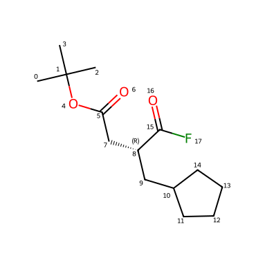 CC(C)(C)OC(=O)C[C@@H](CC1CCCC1)C(=O)F